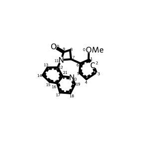 COc1ccccc1C1CC(=O)N1c1cccc2cccnc12